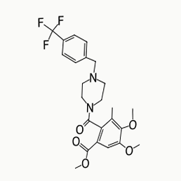 COC(=O)c1cc(OC)c(OC)c(C)c1C(=O)N1CCN(Cc2ccc(C(F)(F)F)cc2)CC1